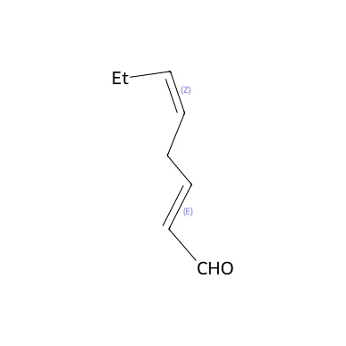 CC/C=C\C/C=C/C=O